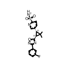 CC1(C)[C@@H](c2ccc(S(N)(=O)=O)nc2)[C@@H]1c1nc(-c2cccc(F)c2)no1